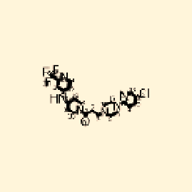 O=C(CCN1CCN(c2ccc(Cl)cn2)CC1)N1CCC(Nc2ccnc(C(F)(F)F)c2)CC1